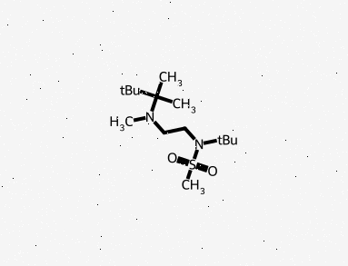 CN(CCN(C(C)(C)C)S(C)(=O)=O)C(C)(C)C(C)(C)C